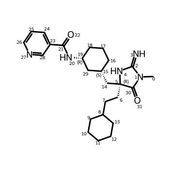 CN1C(=N)N[C@](CCC2CCCCC2)(C[C@H]2CCC[C@@H](NC(=O)c3cccnc3)C2)C1=O